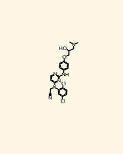 CN(C)CC(O)COc1ccc(Nc2nccc(N(CC#N)c3cc(Cl)ccc3Cl)n2)cc1